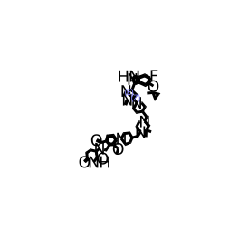 C=N/C(=C\C(=N/C)c1n[nH]c2cc(F)c(OC3(C)CC3)cc12)N1CCC(CN2CCN(CC3CCN(c4ccc5c(c4OC)CN(C4CCC(=O)NC4=O)C5=O)CC3)C(C)(C)C2)CC1